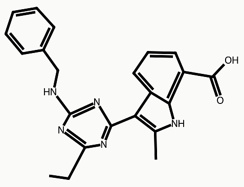 CCc1nc(NCc2ccccc2)nc(-c2c(C)[nH]c3c(C(=O)O)cccc23)n1